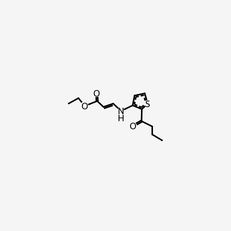 CCCC(=O)c1sccc1NC=CC(=O)OCC